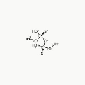 CC(C)OP(N)(=S)OP(O)(=S)OC(C)C